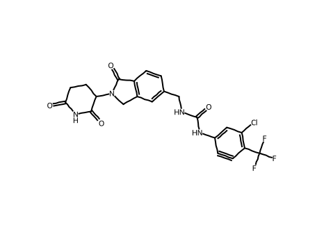 O=C1CCC(N2Cc3cc(CNC(=O)Nc4c#cc(C(F)(F)F)c(Cl)c4)ccc3C2=O)C(=O)N1